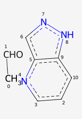 CC=O.c1cnc2cn[nH]c2c1